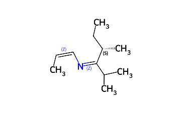 C/C=C\N=C(\C(C)C)[C@@H](C)CC